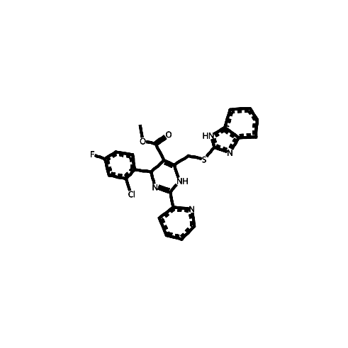 COC(=O)C1=C(CSc2nc3ccccc3[nH]2)NC(c2ccccn2)=NC1c1ccc(F)cc1Cl